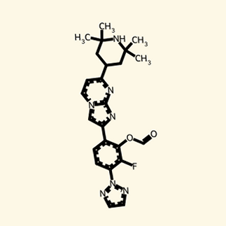 CC1(C)CC(c2ccn3cc(-c4ccc(-n5nccn5)c(F)c4OC=O)nc3n2)CC(C)(C)N1